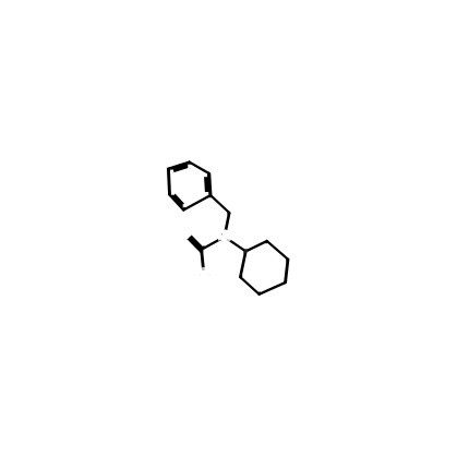 O=C(O)N(Cc1ccccc1)C1CCCCC1